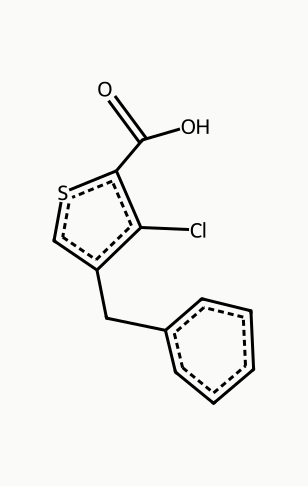 O=C(O)c1scc(Cc2ccccc2)c1Cl